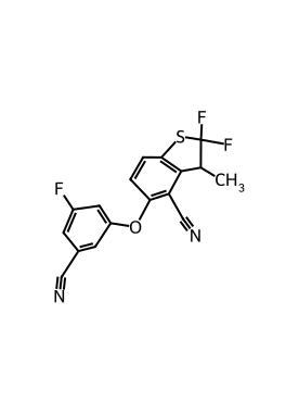 CC1c2c(ccc(Oc3cc(F)cc(C#N)c3)c2C#N)SC1(F)F